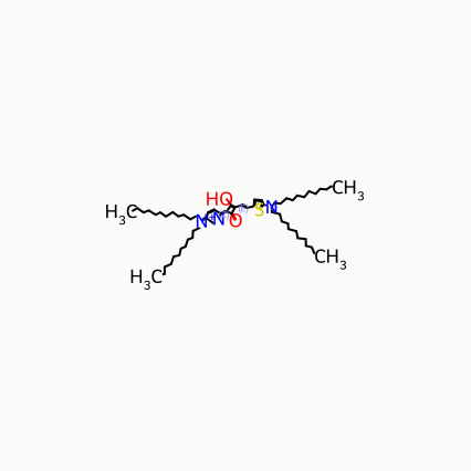 CCCCCCCCCCCCN(CCCCCCCCCCCC)c1ccc(/C=C/C2=C(O)C(=C3\C=CC(=[N+](CCCCCCCCCCCC)CCCCCCCCCCCC)C=N3)/C2=O)s1